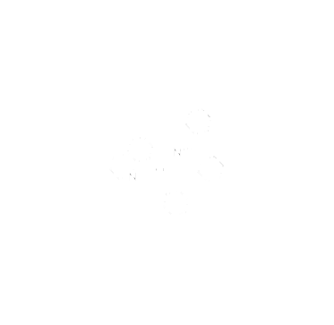 c1ccc(COc2c(CN=C(c3ccccc3)c3ccccc3)ccc3cccnc23)cc1